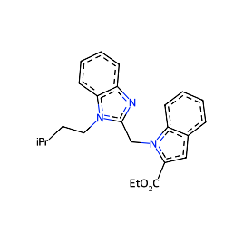 CCOC(=O)c1cc2ccccc2n1Cc1nc2ccccc2n1CCC(C)C